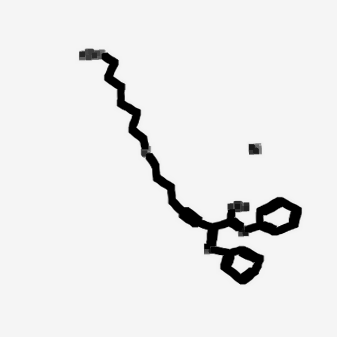 CCCCCCCCCCCCCCCCCCCCCCC#CC(=Nc1ccccc1)C(CCCC)=Nc1ccccc1.[Ni]